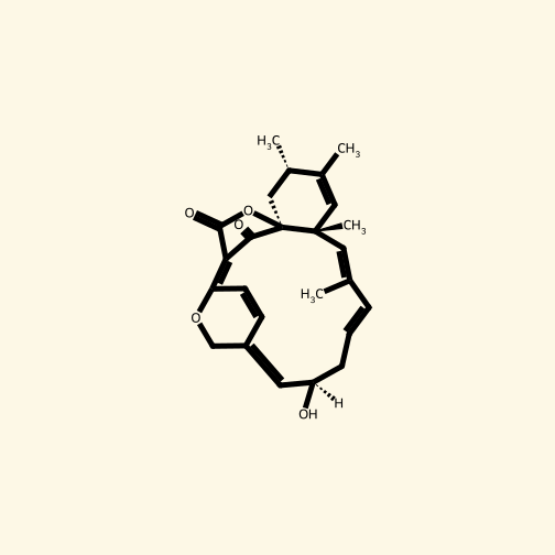 CC1=C[C@]2(C)/C=C(C)/C=C/C[C@@H](O)/C=C3C=C/C(=C4/C(=O)O[C@]2(C[C@@H]1C)C4=O)OC/3